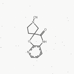 N#CN1CCC2(C1)Oc1ncccc1NC2=O